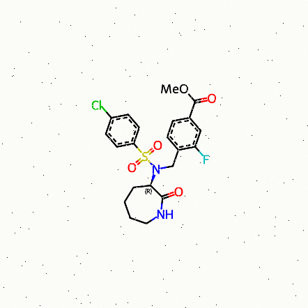 COC(=O)c1ccc(CN([C@@H]2CCCCNC2=O)S(=O)(=O)c2ccc(Cl)cc2)c(F)c1